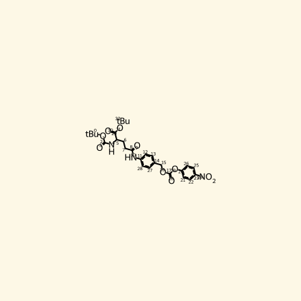 CC(C)(C)OC(=O)NC(CCC(=O)Nc1ccc(COC(=O)Oc2ccc([N+](=O)[O-])cc2)cc1)C(=O)OC(C)(C)C